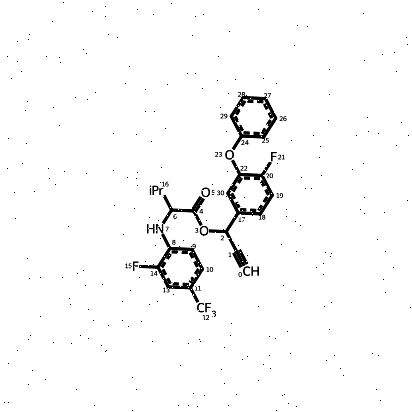 C#CC(OC(=O)C(Nc1ccc(C(F)(F)F)cc1F)C(C)C)c1ccc(F)c(Oc2ccccc2)c1